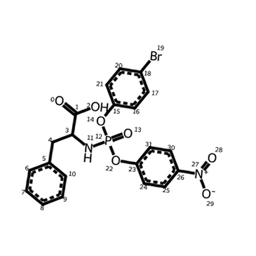 O=C(O)C(Cc1ccccc1)NP(=O)(Oc1ccc(Br)cc1)Oc1ccc([N+](=O)[O-])cc1